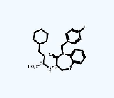 O=C(O)[C@H](CCC1CCCCC1)N[C@H]1COc2ccccc2N(Cc2ccc(I)cc2)C1=O